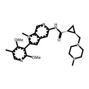 COc1ncc(C)c(OC)c1-c1cc2cc(NC(=O)[C@@H]3C[C@H]3CN3CCN(C)CC3)ncc2n1C